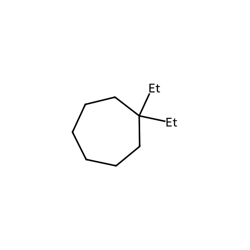 [CH2]CC1(CC)CCCCCC1